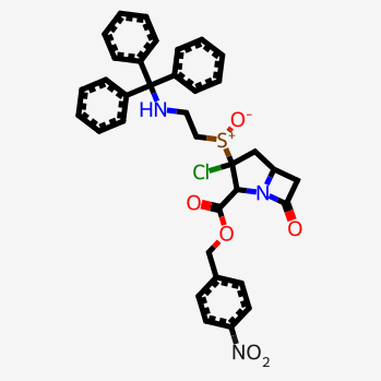 O=C(OCc1ccc([N+](=O)[O-])cc1)C1N2C(=O)CC2CC1(Cl)[S+]([O-])CCNC(c1ccccc1)(c1ccccc1)c1ccccc1